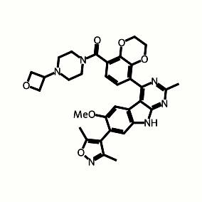 COc1cc2c(cc1-c1c(C)noc1C)[nH]c1nc(C)nc(-c3ccc(C(=O)N4CCN(C5COC5)CC4)c4c3OCCO4)c12